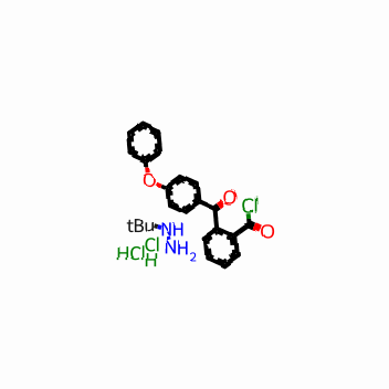 CC(C)(C)NN.Cl.Cl.O=C(Cl)c1ccccc1C(=O)c1ccc(Oc2ccccc2)cc1